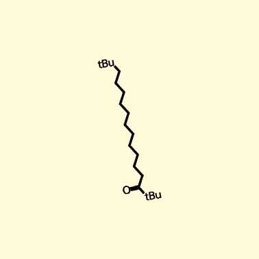 CC(C)(C)CCCCCCCCCCCC(=O)C(C)(C)C